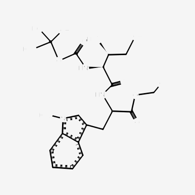 CCOC(=O)C(Cc1cn(C)c2ccccc12)NC(=O)[C@@H](NC(=O)OC(C)(C)C)[C@@H](C)CC